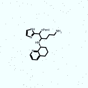 CCCCCC(c1ncc[nH]1)C(CCCN)N[C@H]1CCCc2cccnc21